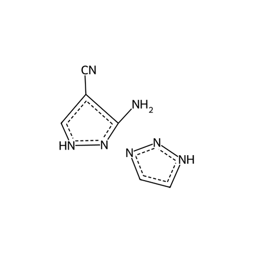 N#Cc1c[nH]nc1N.c1c[nH]nn1